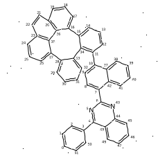 c1ccc(-c2nc(-c3ccc(-c4cccc5c6cccc7ccc8cccc(c9ccccc9c45)c8c76)c4ccccc34)nc3ccccc23)cc1